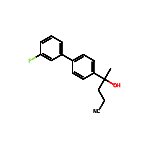 CC(O)(CCC#N)c1ccc(-c2cccc(F)c2)cc1